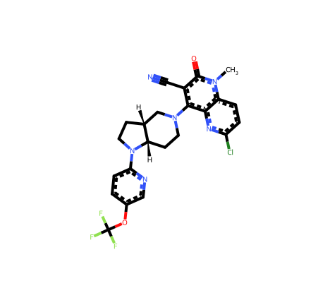 Cn1c(=O)c(C#N)c(N2CC[C@H]3[C@H](CCN3c3ccc(OC(F)(F)F)cn3)C2)c2nc(Cl)ccc21